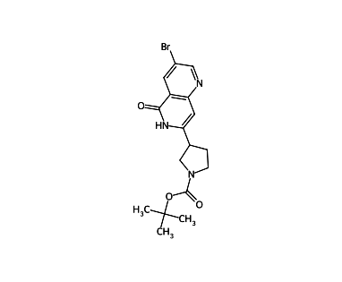 CC(C)(C)OC(=O)N1CCC(c2cc3ncc(Br)cc3c(=O)[nH]2)C1